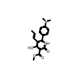 CC=Cc1c(-c2ccc(N(C)C)cc2)[nH]c(=O)c(C(=O)OC)c1O